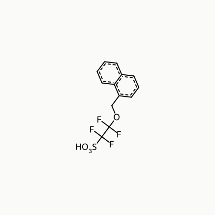 O=S(=O)(O)C(F)(F)C(F)(F)OCc1cccc2ccccc12